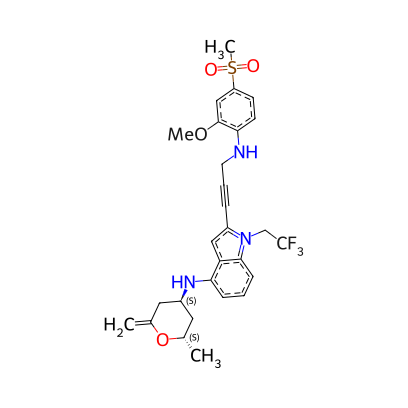 C=C1C[C@@H](Nc2cccc3c2cc(C#CCNc2ccc(S(C)(=O)=O)cc2OC)n3CC(F)(F)F)C[C@H](C)O1